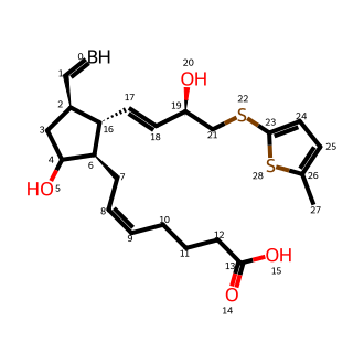 B=C[C@@H]1CC(O)[C@H](C/C=C\CCCC(=O)O)[C@H]1/C=C/[C@@H](O)CSc1ccc(C)s1